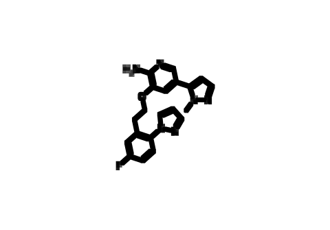 Cn1nccc1-c1cnc(N)c(OCCc2cc(F)ccc2-n2cccn2)c1